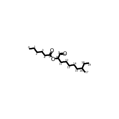 CCCCCC(=O)OC([C]=O)CCCCCC(C)CC